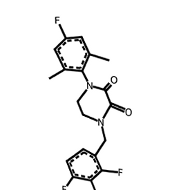 Cc1cc(F)cc(C)c1N1CCN(Cc2ccc(F)c(F)c2F)C(=O)C1=O